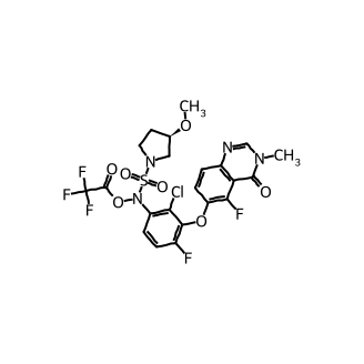 CO[C@@H]1CCN(S(=O)(=O)N(OC(=O)C(F)(F)F)c2ccc(F)c(Oc3ccc4ncn(C)c(=O)c4c3F)c2Cl)C1